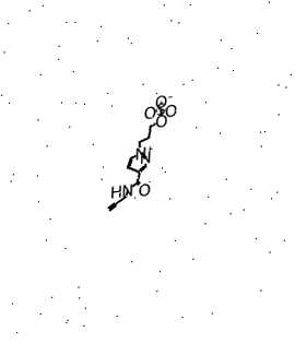 C#CCNC(=O)c1cc[n+](CCCOS(=O)(=O)[O-])nc1